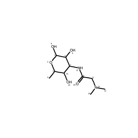 CC1OC(O)C(O)C(NC(=O)CN(C)C)C1O